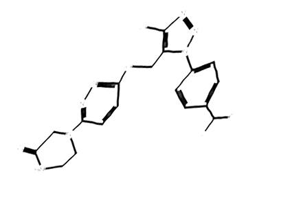 O=C1CN(c2ccc(OCc3c(Cl)nnn3-c3ccc(C(F)F)cc3)nn2)CCN1